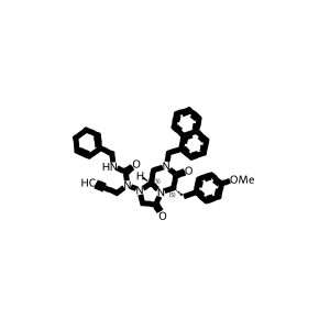 C#CCN(C(=O)NCC1=CCCC=C1)N1CC(=O)N2[C@@H](Cc3ccc(OC)cc3)C(=O)N(Cc3cccc4ccccc34)C[C@@H]21